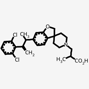 C=C(c1c(Cl)cccc1Cl)C(C)c1ccc2c(c1)OCC21CCN(CC(C)C(=O)O)CC1